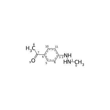 CNNc1ccc(C(C)=O)cc1